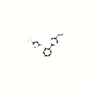 CN(C)c1cc(Oc2cc(F)ccc2-c2ncc(CCN)cn2)n(C)n1